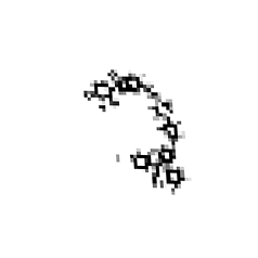 CC/C(=C(\c1ccc(O)cc1)c1ccc(Oc2ccc(N3CCN(CCOc4ccc5c(c4)CN(C4CCC(=O)NC4=O)C5=O)CC3)cn2)cc1)c1ccccc1